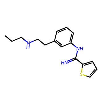 CCCNCCc1cccc(NC(=N)c2cccs2)c1